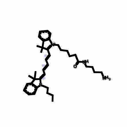 CCCCN1/C(=C/C=C/C=C/C2=[N+](CCCCCC(=O)NCCCCN)c3ccccc3C2(C)C)C(C)(C)c2ccccc21